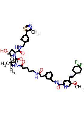 COc1cnc(C(=O)NCc2cccc(CC(=O)NCCCCC(=O)NC(C(=O)N3C[C@H](O)C[C@H]3C(=O)NCc3ccc(-c4scnc4C)cc3)C(C)(C)C)c2)cc1/C=C/C1CCC(F)(F)CC1